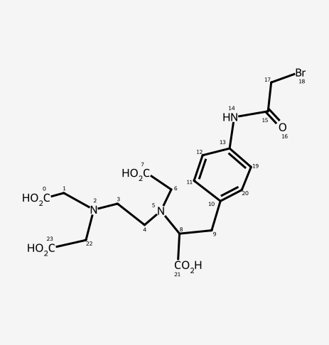 O=C(O)CN(CCN(CC(=O)O)C(Cc1ccc(NC(=O)CBr)cc1)C(=O)O)CC(=O)O